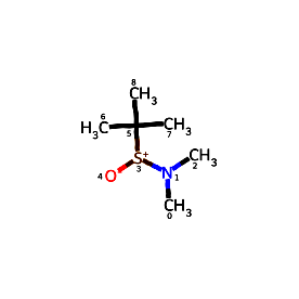 CN(C)[S+]([O-])C(C)(C)C